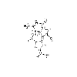 CC(N)C1C[C@@H]([C@H](C)O)OC1n1c(=O)sc2c(O)nc(N)nc21